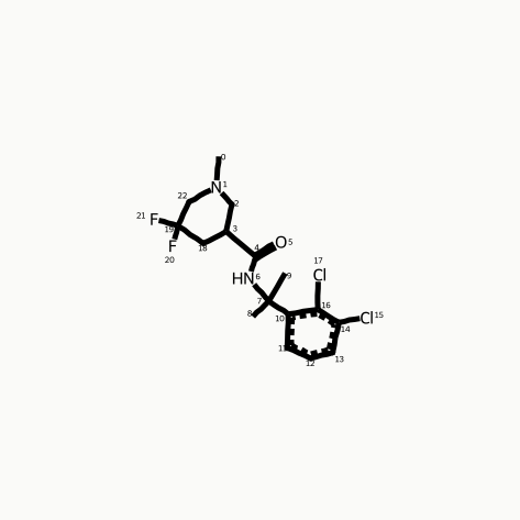 CN1CC(C(=O)NC(C)(C)c2cccc(Cl)c2Cl)CC(F)(F)C1